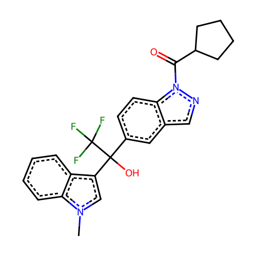 Cn1cc(C(O)(c2ccc3c(cnn3C(=O)C3CCCC3)c2)C(F)(F)F)c2ccccc21